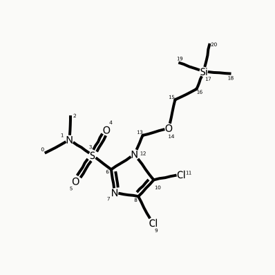 CN(C)S(=O)(=O)c1nc(Cl)c(Cl)n1COCC[Si](C)(C)C